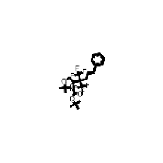 CC(C)(C)OC(=O)N1C(C(C/C=C/c2ccccc2)(C(F)(F)F)C(F)(F)F)COC1(C)C